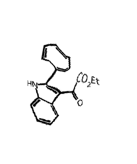 CCOC(=O)C(=O)c1c(-c2ccccc2)[nH]c2ccccc12